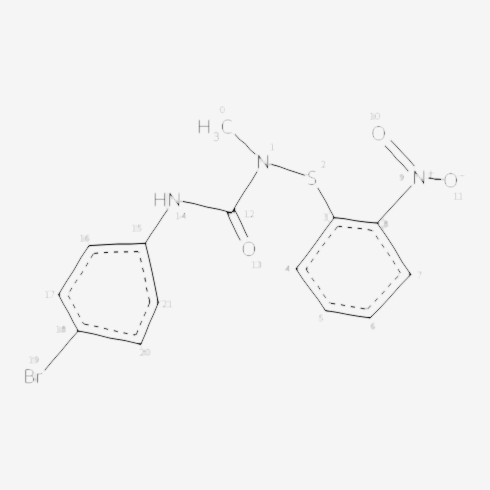 CN(Sc1ccccc1[N+](=O)[O-])C(=O)Nc1ccc(Br)cc1